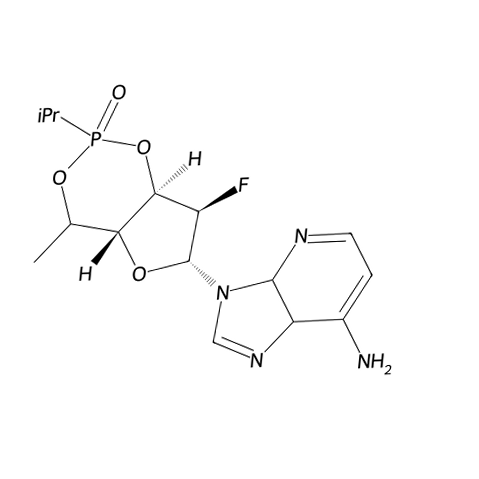 CC1OP(=O)(C(C)C)O[C@H]2[C@@H](F)[C@H](N3C=NC4C(N)=CC=NC43)O[C@H]12